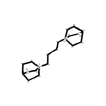 [CH](CC[CH][N+]12CCC(CC1)CC2)[N+]12CCC(CC1)CC2